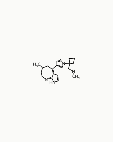 C=NCC1(n2cc(/C3=c4\cc[nH]\c4=N\CCC(C)C3)cn2)CCC1